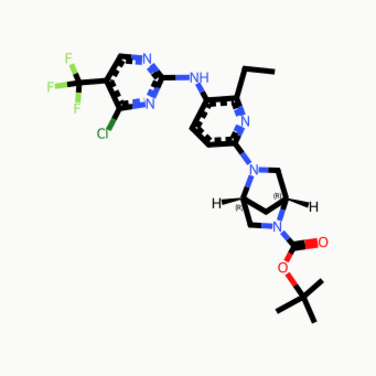 CCc1nc(N2C[C@H]3C[C@@H]2CN3C(=O)OC(C)(C)C)ccc1Nc1ncc(C(F)(F)F)c(Cl)n1